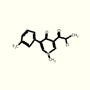 CC(Cl)C(=O)c1cn(C)cc(-c2cccc(C(F)(F)F)c2)c1=O